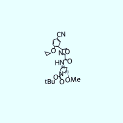 COC[C@H]1C[C@@H](NC(=O)c2nc(-c3cc(C#N)ccc3OC3CC3)co2)CN1C(=O)OC(C)(C)C